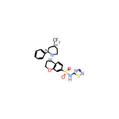 O=S(=O)(Nc1ncns1)c1ccc2c(c1)OCC[C@@H]2N1CC[C@H](C(F)(F)F)C[C@@H]1c1ccccc1